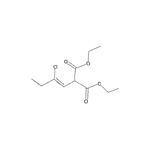 CCOC(=O)C(/C=C(\Cl)CC)C(=O)OCC